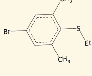 CCSc1c(C)cc(Br)cc1C